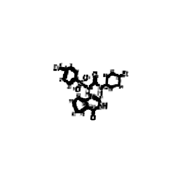 CCc1ccc(S(=O)(=O)NC(=O)NC2CCC(CC)CC2)cc1.O=c1[nH]cnc2ccccc12